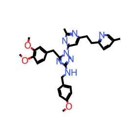 COc1ccc(CNc2nc(Cc3ccc(OC)c(OC)c3)n(-c3cc(CCc4ccc(C)cn4)nc(C)n3)n2)cc1